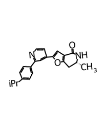 CC(C)c1ccc(-c2cc(-c3cc4c(o3)C[C@@H](C)NC4=O)ccn2)cc1